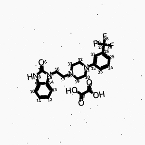 O=C(O)C(=O)O.O=c1[nH]c2ccccc2n1CCN1CCN(c2cccc(C(F)(F)F)c2)CC1